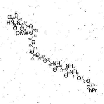 CCCOC(C)OCCOCCNC(=O)C(N)CCC(=O)NCCOCCOC(C)OCCOCCOC(C)OC1CC(n2cc(F)c(=O)[nH]c2=O)OC1OC